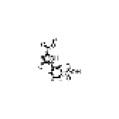 COC(=O)c1cc(=O)n(-c2cccc(S(=O)(=O)O)c2)[nH]1